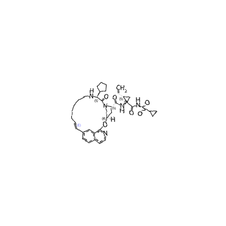 C=C[C@@H]1C[C@]1(NC(=O)[C@@H]1C[C@@H]2CN1C(=O)[C@H](C1CCCC1)NCCCCC/C=C/c1ccc3ccnc(c3c1)O2)C(=O)NS(=O)(=O)C1CC1